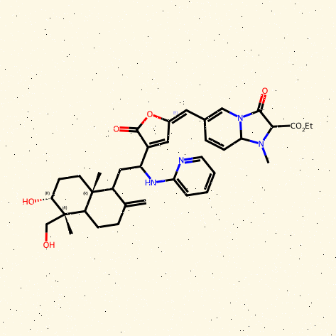 C=C1CCC2[C@](C)(CC[C@@H](O)[C@@]2(C)CO)C1CC(Nc1ccccn1)C1=C/C(=C\C2=CN3C(=O)C(C(=O)OCC)N(C)C3C=C2)OC1=O